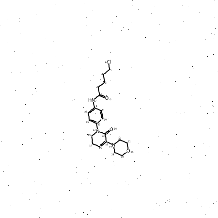 O=C(CCCCCl)Nc1ccc(N2CCC=C(N3CCOCC3)C2=O)cc1